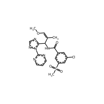 CO/C=C(/C)C(NC(=O)c1cc(Cl)cc(S(C)(=O)=O)c1)c1ncnn1-c1ncccn1